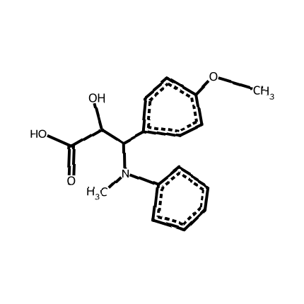 COc1ccc(C(C(O)C(=O)O)N(C)c2ccccc2)cc1